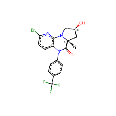 O=C1[C@H]2C[C@H](O)CN2c2nc(Br)ccc2N1c1ccc(C(F)(F)F)cc1